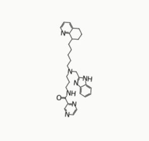 O=C(NCCCN(CCCCCC1CCCc2cccnc21)Cc1nc2ccccc2[nH]1)c1cnccn1